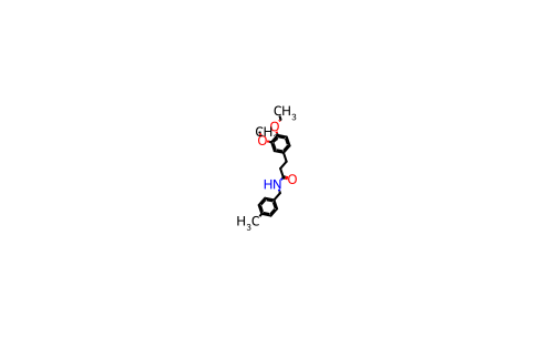 CCOc1ccc(CCC(=O)NCc2ccc(C)cc2)cc1OC